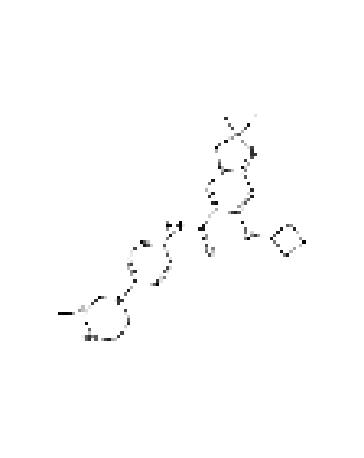 C[C@H]1CN(c2ccc(NC(=O)C3=CN4CC(C)(F)N=C4C=C3OC3CCC3)cc2)CCN1